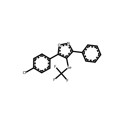 FC(F)(F)[Se]c1c(-c2ccccc2)noc1-c1ccc(Cl)cc1